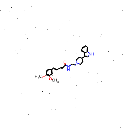 COc1ccc(/C=C/C=C/C(=O)NCCN2CCC(c3c[nH]c4ccccc34)CC2)cc1OC